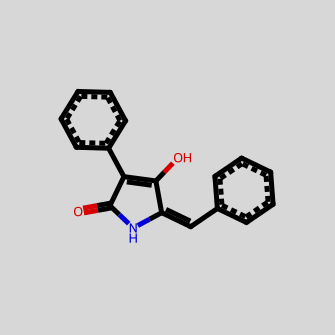 O=C1NC(=Cc2ccccc2)C(O)=C1c1ccccc1